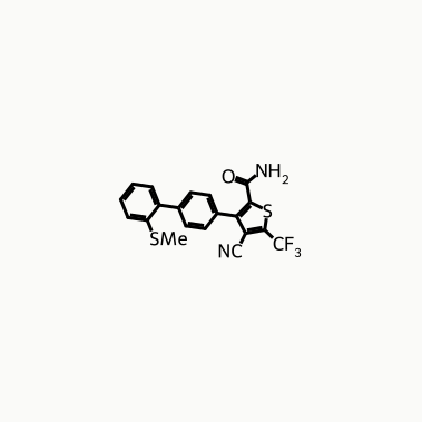 CSc1ccccc1-c1ccc(-c2c(C(N)=O)sc(C(F)(F)F)c2C#N)cc1